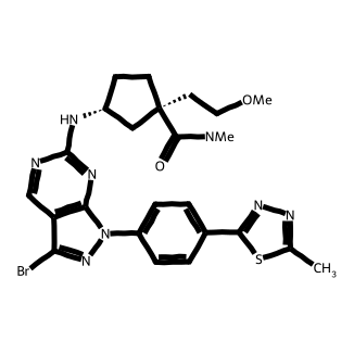 CNC(=O)[C@]1(CCOC)CC[C@@H](Nc2ncc3c(Br)nn(-c4ccc(-c5nnc(C)s5)cc4)c3n2)C1